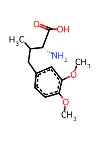 COc1ccc(CC(C)[C@@H](N)C(=O)O)cc1OC